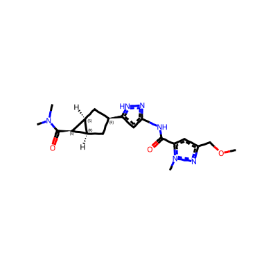 COCc1cc(C(=O)Nc2cc([C@H]3C[C@@H]4[C@H](C3)[C@@H]4C(=O)N(C)C)[nH]n2)n(C)n1